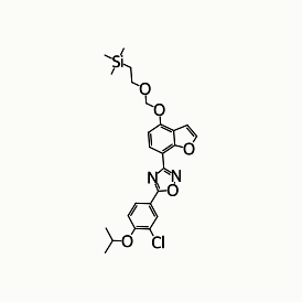 CC(C)Oc1ccc(-c2nc(-c3ccc(OCOCC[Si](C)(C)C)c4ccoc34)no2)cc1Cl